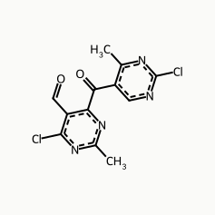 Cc1nc(Cl)c(C=O)c(C(=O)c2cnc(Cl)nc2C)n1